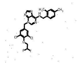 Cc1ccc(CNc2ncn(Cc3cc(Cl)c(OCC(F)F)c(Cl)c3)c3ncnc2-3)c(C)c1